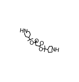 CC(C)(OC(=O)CC(=O)OC(C)(C)C1CCNCC1)C1CCNCC1